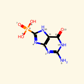 Nc1nc2nc(P(=O)(O)O)[nH]c2c(=O)[nH]1